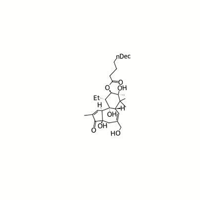 CCCCCCCCCCCCCC(=O)O[C@@H]1[C@@H](CC)[C@@]2(O)[C@@H](C=C(CO)C[C@]3(O)C(=O)C(C)=C[C@@H]23)C(C)(C)[C@]1(C)O